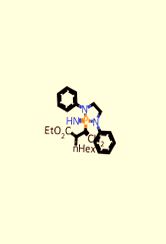 C=C(C(CCCCCC)C(=O)OCC)P1(=N)N(c2ccccc2)CCN1c1ccccc1